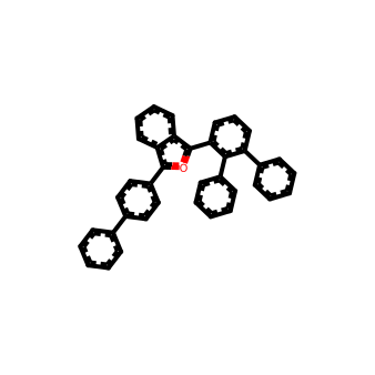 c1ccc(-c2ccc(-c3oc(-c4cccc(-c5ccccc5)c4-c4ccccc4)c4ccccc34)cc2)cc1